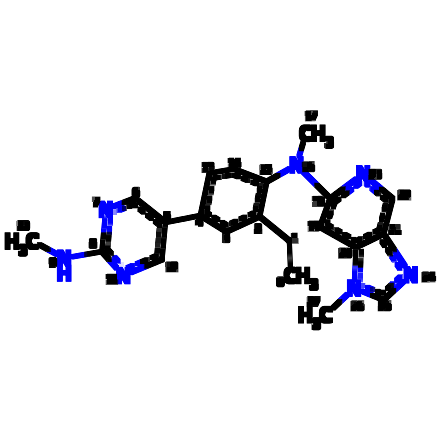 CCc1cc(-c2cnc(NC)nc2)ccc1N(C)c1cc2c(cn1)ncn2C